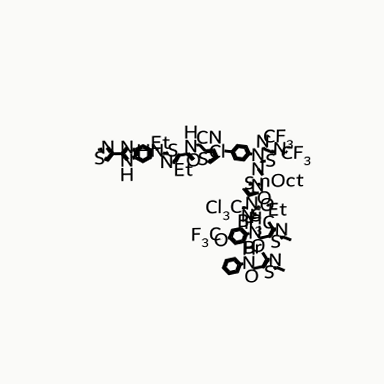 C/N=C1\SC(=N\C(F)(F)F)/C(=N\C(F)(F)F)N1c1ccc(Cl)cc1.CCCCCCCCn1sccc1=O.CCNc1nc(CC)c(C(=O)NC(C#N)c2cccs2)s1.CCOc1nc(C(Cl)(Cl)Cl)ns1.Cc1nc(C(F)(F)F)c(C(=O)Nc2c(Br)cc(OC(F)(F)F)cc2Br)s1.Cc1nc(C)c(C(=O)Nc2ccccc2)s1.c1ccc2[nH]c(-c3cscn3)nc2c1